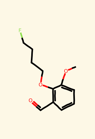 COc1cccc(C=O)c1OCCCCF